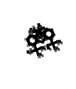 CC(C)(C)c1cccc(C(C)(C)C)c1[CH]c1c(C(C)(C)C)cccc1C(C)(C)C